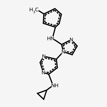 Cc1cccc(Nc2nccn2-c2cc(NC3CC3)ncn2)c1